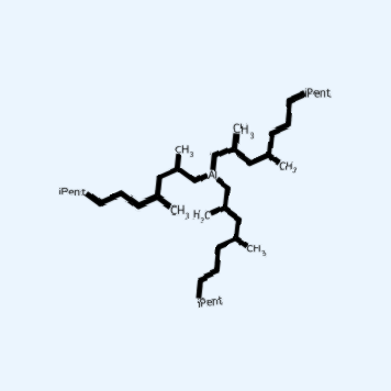 CCCC(C)CCCC(C)CC(C)[CH2][Al]([CH2]C(C)CC(C)CCCC(C)CCC)[CH2]C(C)CC(C)CCCC(C)CCC